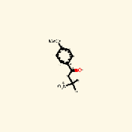 COc1ccc(C(=O)CC(C)(C)[N+](=O)[O-])cc1